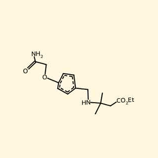 CCOC(=O)CC(C)(C)NCc1ccc(OCC(N)=O)cc1